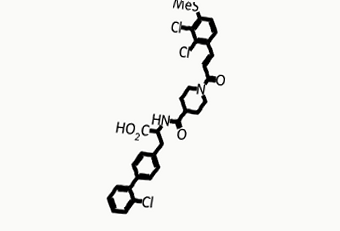 CSc1ccc(/C=C/C(=O)N2CCC(C(=O)NC(Cc3ccc(-c4ccccc4Cl)cc3)C(=O)O)CC2)c(Cl)c1Cl